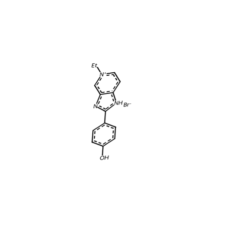 CC[n+]1ccc2[nH]c(-c3ccc(O)cc3)nc2c1.[Br-]